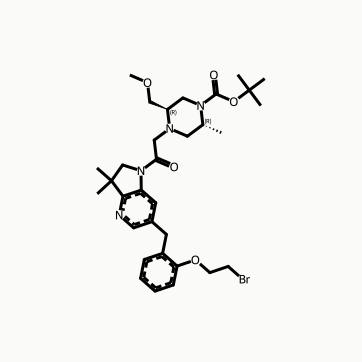 COC[C@H]1CN(C(=O)OC(C)(C)C)[C@H](C)CN1CC(=O)N1CC(C)(C)c2ncc(Cc3ccccc3OCCBr)cc21